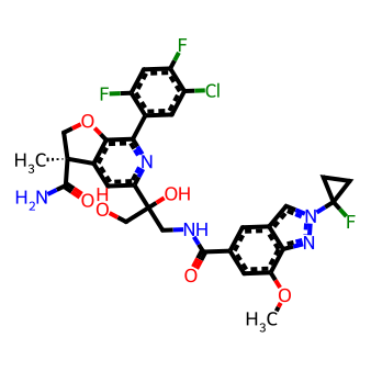 COc1cc(C(=O)NCC(O)(CO)c2cc3c(c(-c4cc(Cl)c(F)cc4F)n2)OC[C@]3(C)C(N)=O)cc2cn(C3(F)CC3)nc12